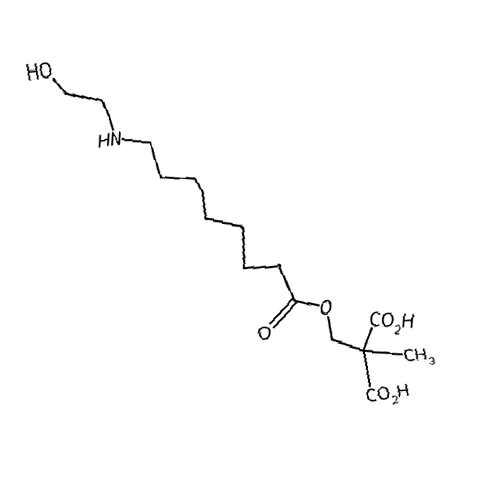 CC(COC(=O)CCCCCCCNCCO)(C(=O)O)C(=O)O